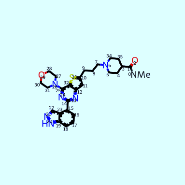 CNC(=O)C1CCN(CCCc2cc3nc(-c4cccc5[nH]ncc45)nc(N4CCOCC4)c3s2)CC1